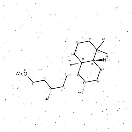 COCC[C@@H](C)CC[C@H]1[C@@H](C)CC[C@H]2C(C)(C)CCC[C@]12C